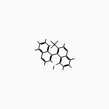 COc1c(Br)cc2c(F)c(F)c(F)c(F)c2c1-c1c(C(C)(C)C)c(Br)cc2c(F)c(F)c(F)c(F)c12